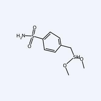 CO[SiH](Cc1ccc(S(N)(=O)=O)cc1)OC